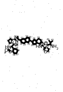 COC(=O)N[C@@H](C(=O)N1CCC[C@H]1c1ncc(-c2ccc3cc(-c4ccc5c(c4)CCc4nc([C@@H]6COCCN6C(=O)[C@@H](N)C(C)C)[nH]c4-5)ccc3c2)[nH]1)c1ccccc1